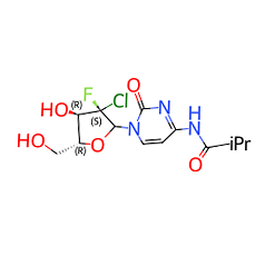 CC(C)C(=O)Nc1ccn(C2O[C@H](CO)[C@@H](O)[C@]2(F)Cl)c(=O)n1